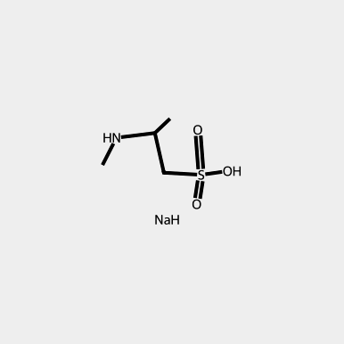 CNC(C)CS(=O)(=O)O.[NaH]